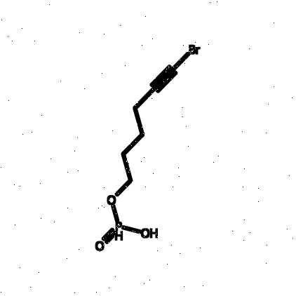 O=[PH](O)OCCCCC#CBr